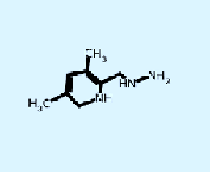 CC1=CC(C)=C(CNN)NC1